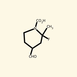 CC1(F)CC(C=O)CCN1C(=O)O